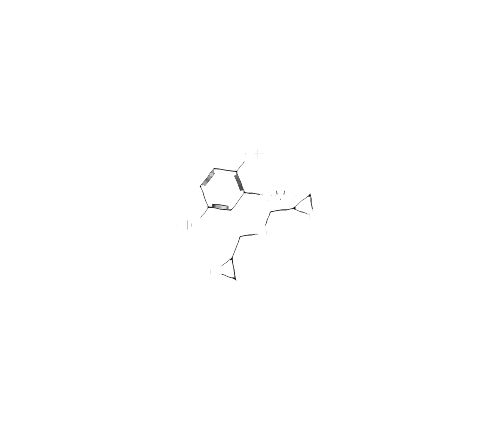 C(OCC1CO1)C1CO1.COc1cc(C=O)ccc1O